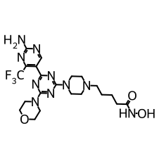 Nc1ncc(-c2nc(N3CCOCC3)nc(N3CCN(CCCCC(=O)NO)CC3)n2)c(C(F)(F)F)n1